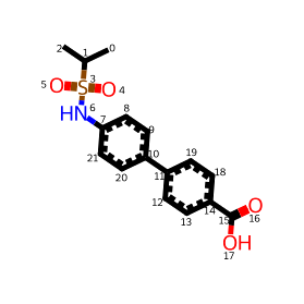 CC(C)S(=O)(=O)Nc1ccc(-c2ccc(C(=O)O)cc2)cc1